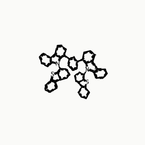 c1cc(-c2cccc3c4ccccc4n(-c4cccc5c4sc4ccccc45)c23)cc(-c2cccc3c4ccccc4n(-c4cccc5c4sc4ccccc45)c23)c1